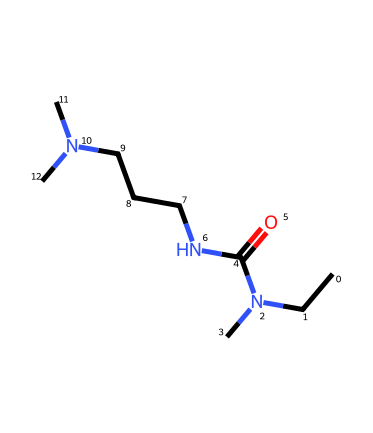 CCN(C)C(=O)NCCCN(C)C